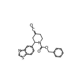 O=C=C1CCN(C(=O)OCc2ccccc2)C(c2ccc3scnc3c2)C1